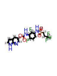 O=C(Nc1c(F)ccc(NS(=O)(=O)CCC(F)(F)F)c1F)Oc1cnc2[nH]ccc2c1